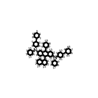 c1ccc(-c2ccc(N(c3ccccc3)c3ccc4c(-c5cccc6ccccc56)c5cc(N(c6ccccc6)c6ccc(-c7ccccc7)cc6)ccc5c(-c5ccccc5)c4c3)cc2)cc1